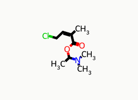 CC(=CCCl)C(=O)OC(C)N(C)C